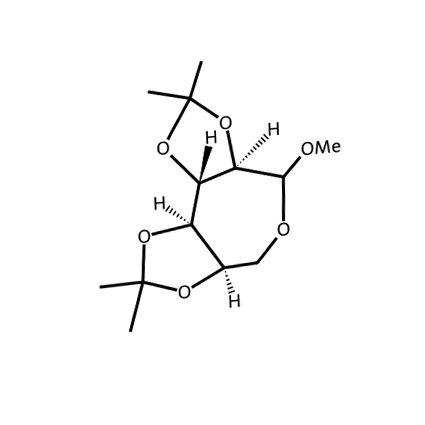 COC1OC[C@H]2OC(C)(C)O[C@H]2[C@@H]2OC(C)(C)O[C@@H]12